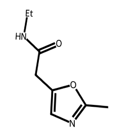 CCNC(=O)Cc1cnc(C)o1